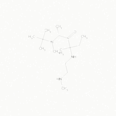 CCC(C)(NCCNC)C(=O)[C@@H](C)N(C)C(C)(C)C